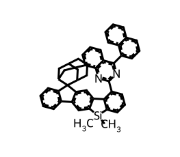 C[Si]1(C)c2cc3c(cc2-c2c(-c4nc(-c5cccc6ccccc56)c5ccccc5n4)cccc21)C1(c2ccccc2-3)C2CC3CC(C2)CC1C3